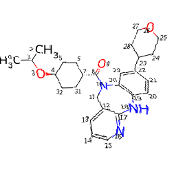 CC(C)O[C@H]1CC[C@H](C(=O)N2Cc3cccnc3Nc3ccc(C4CCOCC4)cc32)CC1